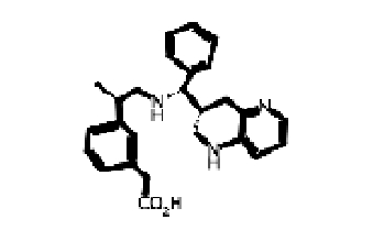 C[C@@H](CN[C@H](c1ccccc1)[C@H]1CNc2cccnc2C1)c1cccc(CC(=O)O)c1